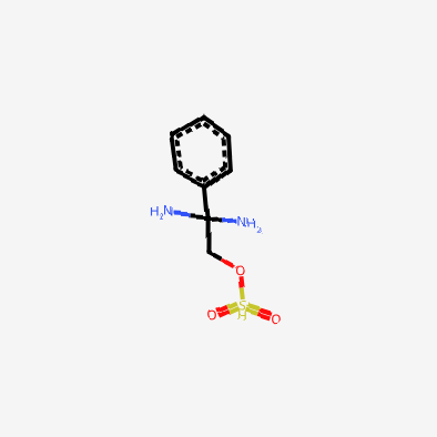 NC(N)(CO[SH](=O)=O)c1cc[c]cc1